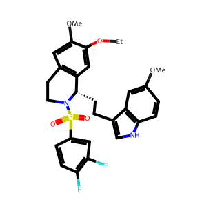 CCOc1cc2c(cc1OC)CCN(S(=O)(=O)c1ccc(F)c(F)c1)[C@H]2CCc1c[nH]c2ccc(OC)cc12